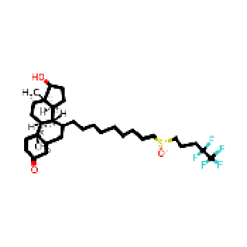 C[C@]12CCC(=O)CC1CC(CCCCCCCCC[S+]([O-])CCCC(F)(F)C(F)(F)F)[C@@H]1[C@H]2CC[C@]2(C)C(O)CC[C@@H]12